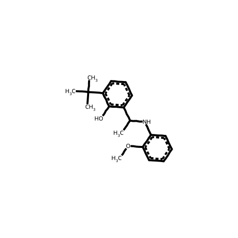 COc1ccccc1NC(C)c1cccc(C(C)(C)C)c1O